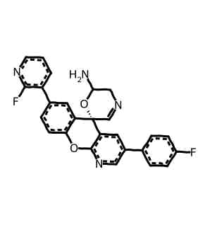 NC1CN=C[C@]2(O1)c1cc(-c3cccnc3F)ccc1Oc1ncc(-c3ccc(F)cc3)cc12